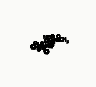 CC(=O)OCC1=C(C(=O)O)N2C(=O)[C@@H](NC(=O)C(NC(=O)c3coc4ccccc4c3=O)c3ccccc3)[C@@H]2SC1